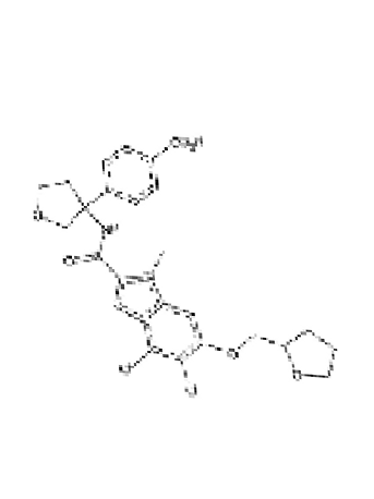 Cn1c(C(=O)NC2(c3ccc(C(=O)O)cc3)CCOC2)cc2c(Cl)c(Cl)c(OCC3CCCO3)cc21